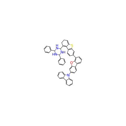 C1=c2sc3cc(-c4cccc5c4oc4cc(-n6c7ccccc7c7ccccc76)ccc45)ccc3c2=C(C2NC(c3ccccc3)NC(c3ccccc3)N2)CC1